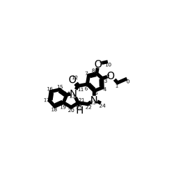 CCOc1cc2c(cc1OC)C(=O)N1c3ccccc3C[C@H]1CN2C